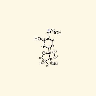 CC(C)(C)C12OOC1(c1ccc(/C=N\O)c(O)c1)OCC2(C)C